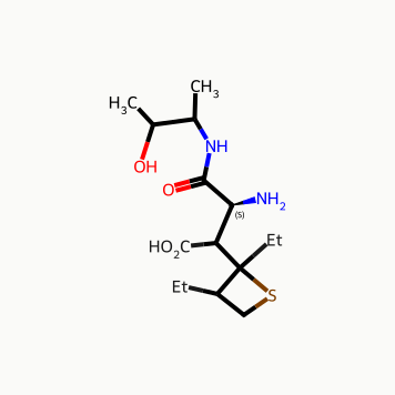 CCC1CSC1(CC)C(C(=O)O)[C@H](N)C(=O)NC(C)C(C)O